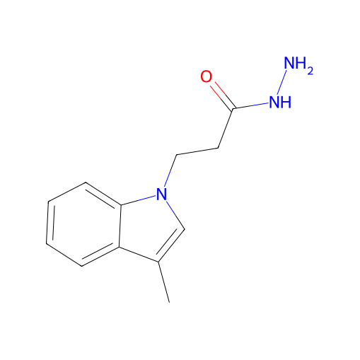 Cc1cn(CCC(=O)NN)c2ccccc12